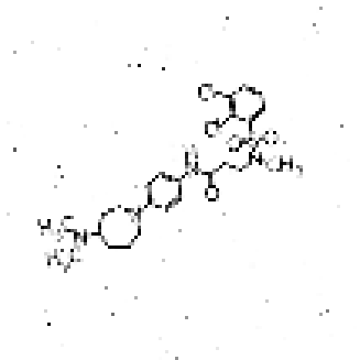 CN(C)C1CCCN(c2ccc(NC(=O)CCN(C)S(=O)(=O)c3cccc(Cl)c3Cl)cc2)CC1